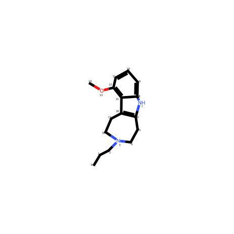 CCCN1CCc2[nH]c3cccc(OC)c3c2CC1